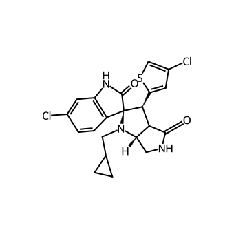 O=C1NC[C@H]2C1[C@H](c1cc(Cl)cs1)[C@]1(C(=O)Nc3cc(Cl)ccc31)N2CC1CC1